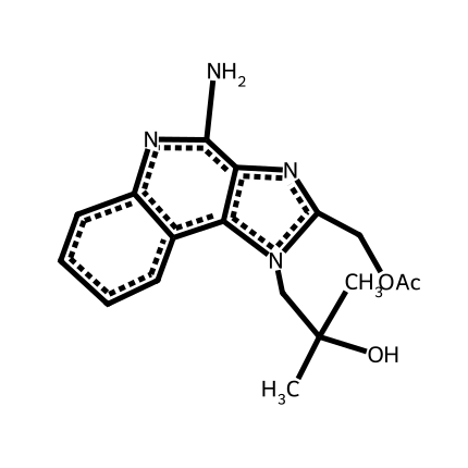 CC(=O)OCc1nc2c(N)nc3ccccc3c2n1CC(C)(C)O